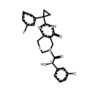 O=C([C@H](O)c1cccc(Cl)c1)N1CCCc2nc(C3(c4cccc(F)c4)CC3)[nH]c(=O)c2C1